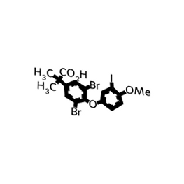 COc1ccc(Oc2c(Br)cc(C(C)(C)C(=O)O)cc2Br)cc1I